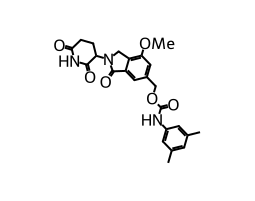 COc1cc(COC(=O)Nc2cc(C)cc(C)c2)cc2c1CN(C1CCC(=O)NC1=O)C2=O